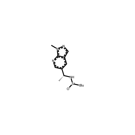 C[C@@H](N[S+]([O-])C(C)(C)C)c1cnc2c(cnn2C)c1